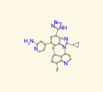 Nc1cc(-c2cc(-c3nnc[nH]3)c3nc(C4CC4)n(-c4ccnc5c(F)ccc(F)c45)c3c2)ccn1